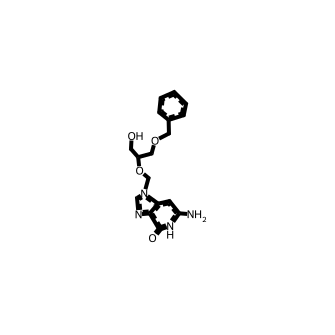 Nc1cc2c(ncn2COC(CO)COCc2ccccc2)c(=O)[nH]1